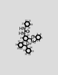 CN(Cc1ccccc1)C(=O)c1cc(NC(=O)Nc2ccccc2)ccc1OC(c1ccccc1)c1ccccc1